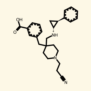 N#CCCN1CCC(CN[C@@H]2C[C@H]2c2ccccc2)(Cc2cccc(C(=O)O)c2)CC1